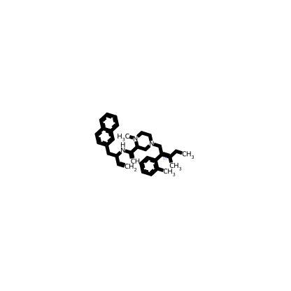 C=CC(Cc1ccc2ccccc2c1)NC(=C)C1CN(C/C(=C(/C)CC)c2ccccc2C)CCN1C